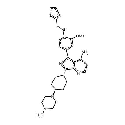 COc1cc(-c2nn([C@H]3CC[C@H](N4CCN(C)CC4)CC3)c3ncnc(N)c23)ccc1NCc1nccs1